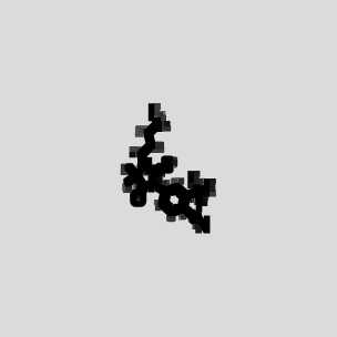 CC1(C)C(=O)N(c2ccc(C#N)c(C(F)(F)F)c2)C(=S)N1CCCCF